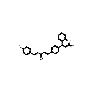 O=C(C=Cc1ccc(F)cc1)C=Cc1ccc(-c2cc(=O)oc3ccccc23)cc1